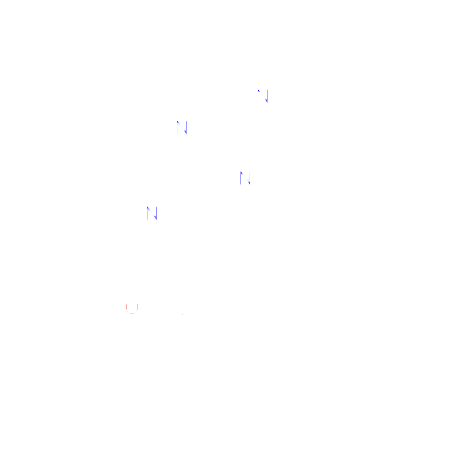 CC(=O)C1=CC=C2C=CN=C3N=CN=C1N23